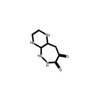 O=C1CC2NCCNC2NNC1=O